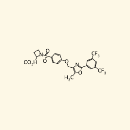 Cc1oc(-c2cc(C(F)(F)F)cc(C(F)(F)F)c2)nc1COc1ccc(S(=O)(=O)N2CCC2C(=O)O)cc1